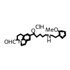 COc1ccccc1CCNCCCCC(=O)c1cc2c3c(ccn3C(C=O)CC2)c1.Cl